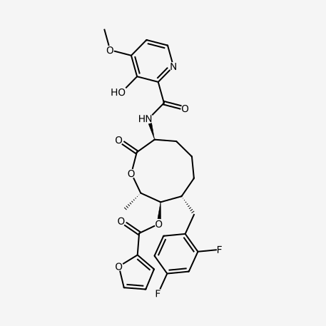 COc1ccnc(C(=O)N[C@H]2CCC[C@H](Cc3ccc(F)cc3F)[C@@H](OC(=O)c3ccco3)[C@H](C)OC2=O)c1O